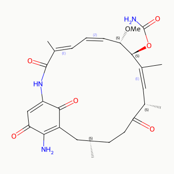 CO[C@H]1/C=C\C=C(/C)C(=O)NC2=CC(=O)C(N)=C(C[C@@H](C)CCC(=O)[C@@H](C)/C=C(\C)[C@@H]1OC(N)=O)C2=O